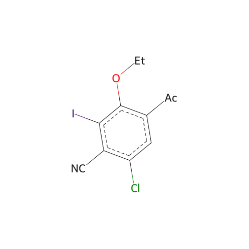 CCOc1c(C(C)=O)cc(Cl)c(C#N)c1I